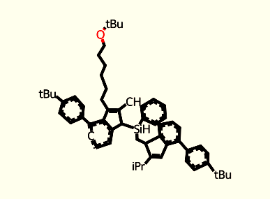 CC1=C(CCCCCCOC(C)(C)C)c2c(-c3ccc(C(C)(C)C)cc3)cccc2C1[SiH](CC1C(C(C)C)=Cc2c(-c3ccc(C(C)(C)C)cc3)cccc21)c1ccccc1